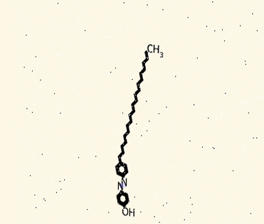 CCCCCCCCCCCCCCCCCCCCCCc1ccc(/N=N/c2ccc(O)cc2)cc1